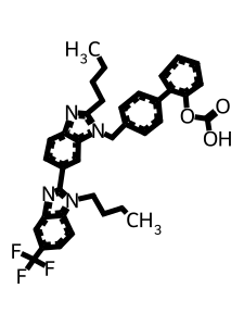 CCCCc1nc2ccc(-c3nc4cc(C(F)(F)F)ccc4n3CCCC)cc2n1Cc1ccc(-c2ccccc2OC(=O)O)cc1